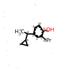 CC(C)c1cc(C(C)C2CC2)ccc1O